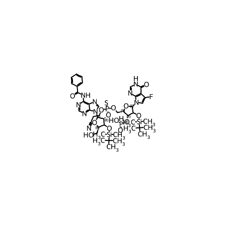 CC(C)(C)[Si](C)(C)OC1[C@@H](OP(=S)(OCCC#N)OC[C@H]2O[C@@H](n3cc(F)c4c(=O)[nH]cnc43)C(O[Si](C)(C)C(C)(C)C)[C@@H]2O[PH](=O)O)[C@H](n2cnc3c(NC(=O)c4ccccc4)ncnc32)O[C@@H]1CO